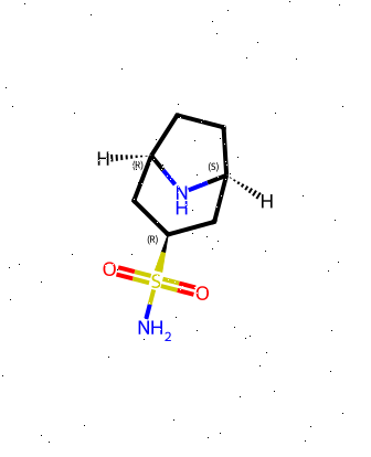 NS(=O)(=O)[C@H]1C[C@H]2CC[C@@H](C1)N2